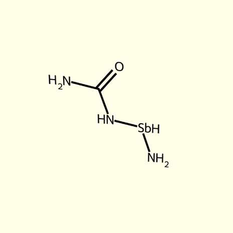 [NH2][SbH][NH]C(N)=O